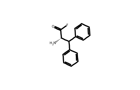 N[C@H](C(=O)F)C(c1ccccc1)c1ccccc1